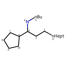 CCCCCCCCCC([N]CCCC)C1CCCC1